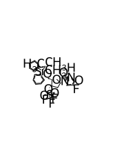 CC(C)(C)[Si](OC[C@H]1O[C@H](n2cc(F)c(=O)[nH]c2=O)C[C@@H]1OS(=O)(=O)C(F)(F)F)(c1ccccc1)c1ccccc1